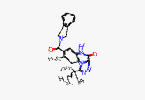 CCCC(C)(CCC)c1nnc2c(=O)[nH]c3cc(C(=O)N4Cc5ccccc5C4)c(C)cc3n12